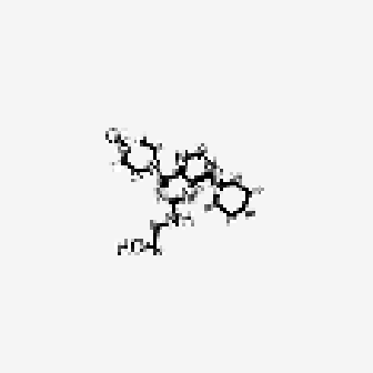 [O-][S+]1CCN(c2nc(NCCO)nc3c(N4CCCCC4)ncnc23)CC1